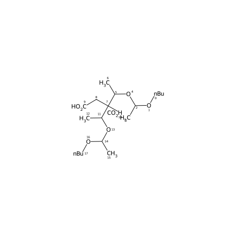 CCCCOC(C)OC(C)C(CC(=O)O)(C(=O)O)C(C)OC(C)OCCCC